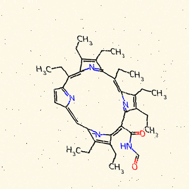 CCC1=C(CC)C2=C(C(=O)NC=O)C3=NC(=C(CC)C4=NC(=C(CC)C5=NC(=CC1=N2)C=C5)C(CC)=C4CC)C(CC)=C3CC